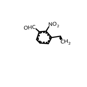 C=Cc1cccc(C=O)c1[N+](=O)[O-]